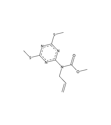 C=CCN(C(=O)OC)c1nc(SC)nc(SC)n1